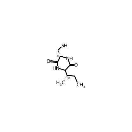 CC[C@H](C)C1NC(=O)[C@H](CS)NC1=O